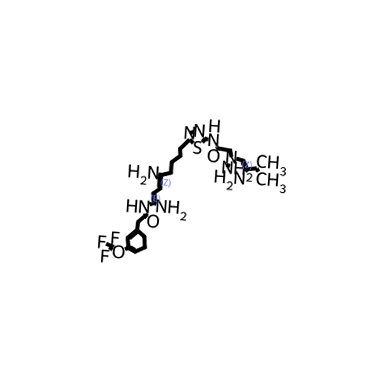 CC(C)/C(N)=C/N(N)CC(=O)Nc1nnc(CCCC/C(N)=C/C=C(\N)NC(=O)CC2=CC(OC(F)(F)F)=CCC2)s1